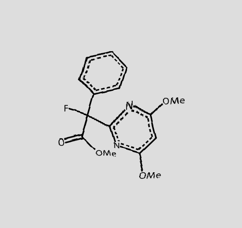 COC(=O)C(F)(c1ccccc1)c1nc(OC)cc(OC)n1